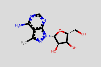 Nc1ncnc2c1c(C(F)(F)F)nn2[C@@H]1O[C@H](CO)C(O)[C@H]1O